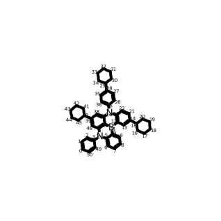 c1ccc(N2c3ccccc3B3c4cc(C5CCCCC5)ccc4N(c4ccc(C5CCCCC5)cc4)c4cc(C5CCCCC5)cc2c43)cc1